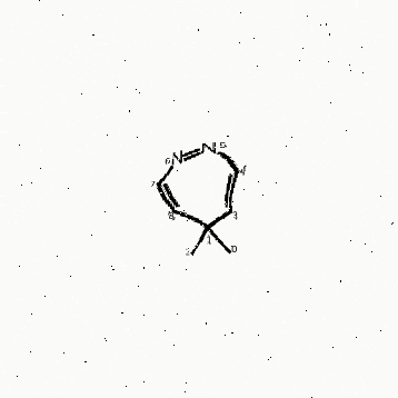 CC1(C)C=CN=NC=C1